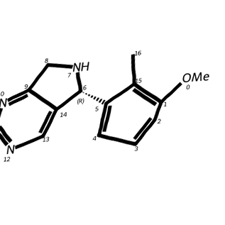 COc1cccc([C@H]2NCc3ncncc32)c1C